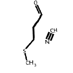 C#N.CSCCC=O